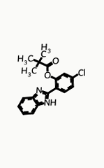 CC(C)(C)C(=O)Oc1cc(Cl)ccc1-c1nc2ccccc2[nH]1